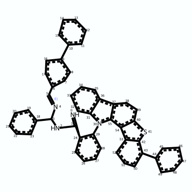 N=C(NC(/N=C/c1ccc(-c2ccccc2)cc1)c1ccccc1)c1ccccc1-n1c2ccccc2c2ccc3sc4c(-c5ccccc5)cccc4c3c21